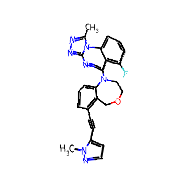 Cc1nnc2nc(N3CCOCc4c(C#Cc5ccnn5C)cccc43)c3c(F)cccc3n12